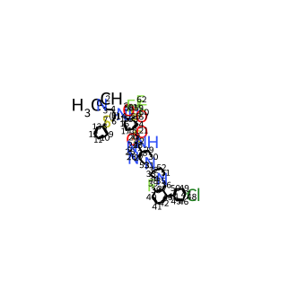 CN(C)CC[C@H](CSc1ccccc1)Nc1ccc(S(=O)(=O)Nc2ncnc3c2CCN(C2CCN(Cc4c(F)cccc4-c4ccc(Cl)cc4)CC2)C3)cc1S(=O)(=O)C(F)(F)F